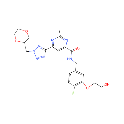 Cc1nc(C(=O)NCc2ccc(F)c(OCCO)c2)cc(-c2nnn(C[C@H]3COCCO3)n2)n1